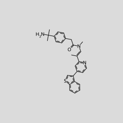 C/C(=C\N(C)C(=O)Cc1ccc(C(C)(C)N)cc1)c1cc(-c2csc3ccccc23)ccn1